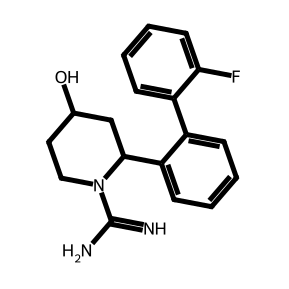 N=C(N)N1CCC(O)CC1c1ccccc1-c1ccccc1F